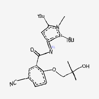 CCCCn1/c(=N/C(=O)c2cc(C#N)ccc2OCC(C)(C)O)cc(C(C)(C)C)n1C